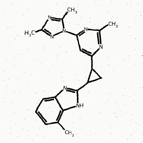 Cc1nc(C2CC2c2nc3cccc(C)c3[nH]2)cc(-n2nc(C)nc2C)n1